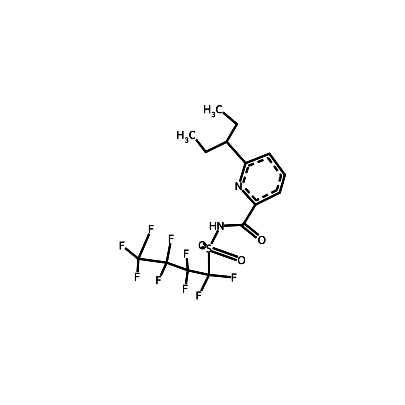 CCC(CC)c1cccc(C(=O)NS(=O)(=O)C(F)(F)C(F)(F)C(F)(F)C(F)(F)F)n1